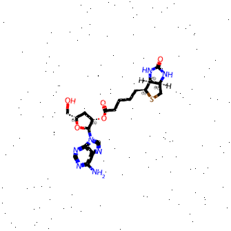 Nc1ncnc2c1ncn2C1O[C@H](CO)C[C@@H]1OC(=O)CCCC[C@@H]1SC[C@@H]2NC(=O)N[C@@H]21